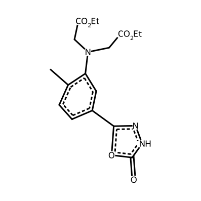 CCOC(=O)CN(CC(=O)OCC)c1cc(-c2n[nH]c(=O)o2)ccc1C